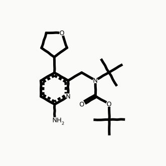 CC(C)(C)OC(=O)N(Cc1nc(N)ccc1C1CCOC1)C(C)(C)C